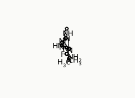 CN(C)CC(N)c1cc(F)cc(-c2nccc3[nH]c(-c4n[nH]c5cnc(-c6cncc(CNCC7CCCC7)c6)cc45)nc23)c1